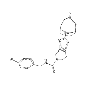 O=C(NCc1ccc(F)cc1)N1CCc2nc(N3C4CCC3CNC4)sc2C1